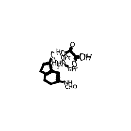 CC1CCc2ccc(NC=O)cc21.CCCNCCC.O=C(O)C(=O)O